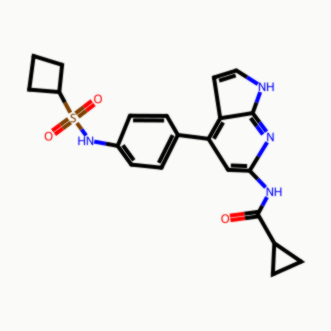 O=C(Nc1cc(-c2ccc(NS(=O)(=O)C3CCC3)cc2)c2cc[nH]c2n1)C1CC1